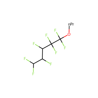 CCCOC(F)(F)C(F)(F)C(F)C(F)C(F)F